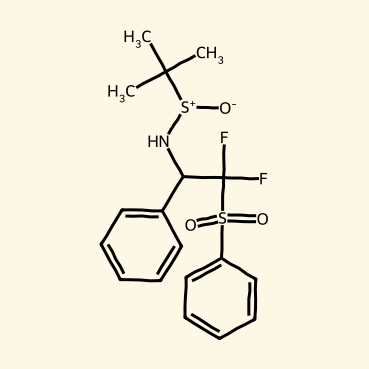 CC(C)(C)[S+]([O-])NC(c1ccccc1)C(F)(F)S(=O)(=O)c1ccccc1